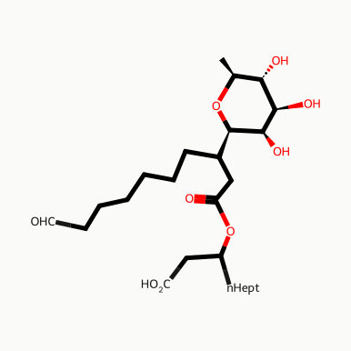 CCCCCCCC(CC(=O)O)OC(=O)CC(CCCCCCC=O)[C@H]1O[C@@H](C)[C@H](O)[C@@H](O)[C@H]1O